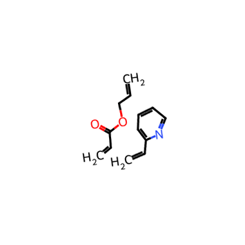 C=CCOC(=O)C=C.C=Cc1ccccn1